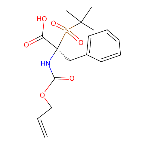 C=CCOC(=O)N[C@@](Cc1ccccc1)(C(=O)O)S(=O)(=O)C(C)(C)C